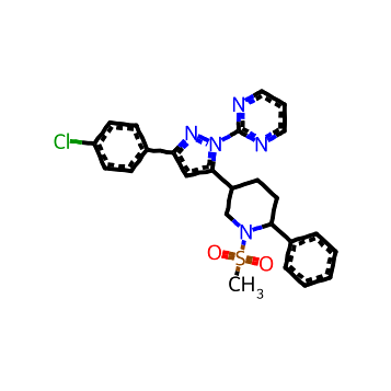 CS(=O)(=O)N1CC(c2cc(-c3ccc(Cl)cc3)nn2-c2ncccn2)CCC1c1ccccc1